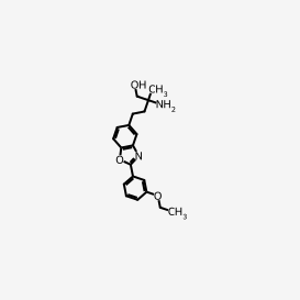 CCOc1cccc(-c2nc3cc(CCC(C)(N)CO)ccc3o2)c1